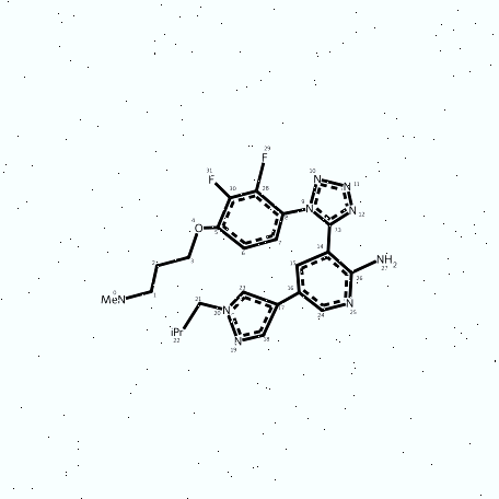 CNCCCOc1ccc(-n2nnnc2-c2cc(-c3cnn(CC(C)C)c3)cnc2N)c(F)c1F